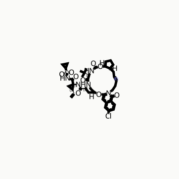 C=C[C@@H]1C[C@]1(NC(=O)[C@@H]1C[C@@H]2CN1C(=O)[C@H](C(C)(C)C)NC(=O)O[C@@H]1CCC[C@H]1C/C=C/CCn1c(cc3cc(Cl)ccc3c1=O)O2)C(=O)NS(=O)(=O)C1CC1